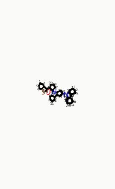 c1ccc2c(c1)sc1oc3c(-n4c5ccccc5c5cc(-n6c7ccccc7c7ccccc76)ccc54)cccc3c12